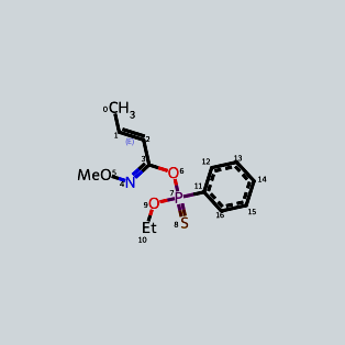 C/C=C/C(=NOC)OP(=S)(OCC)c1ccccc1